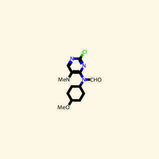 CNc1cnc(Cl)nc1N(C=O)C1CCC(OC)CC1